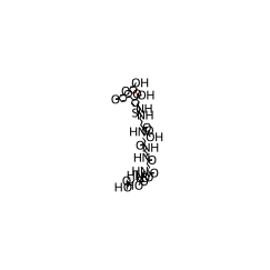 O=C(O)CC[C@H](NC(=O)N[C@@H](CCC(=O)NCCNC(=O)CC[C@H](NC(=O)CCCNC(=S)Nc1ccc(-c2c3ccc(=O)cc-3oc3cc(O)ccc23)c(C(=O)O)c1)C(=O)O)C(=O)O)C(=O)O